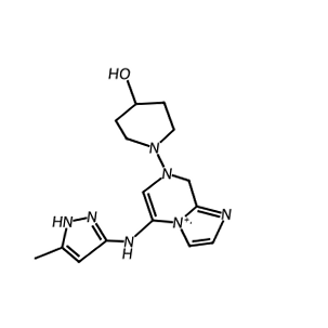 Cc1cc(NC2=CN(N3CCC(O)CC3)CC3=NC=C[N+]23)n[nH]1